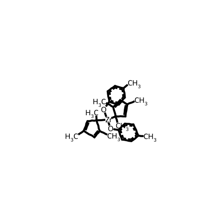 CC1=C[C](C)([Zr]([O]c2ccc(C)cc2)([O]c2ccc(C)cc2)[C]2(C)C=C(C)C=C2C)C(C)=C1